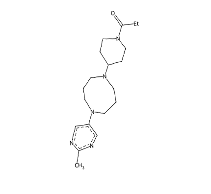 CCC(=O)N1CCC(N2CCCN(c3cnc(C)nc3)CCC2)CC1